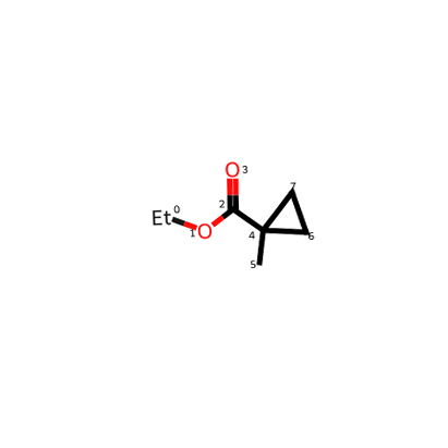 CCOC(=O)C1(C)CC1